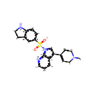 CN1CC=C(c2cn(S(=O)(=O)c3ccc4c(c3)CCN4)c3ncccc23)CC1